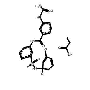 CCC(=O)O.N=C(N)Nc1cccc(C(=O)Nc2cccc(S(=O)(=O)NC3(Cl)C=C(Cl)C=CC3)c2)c1